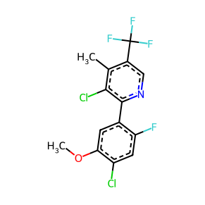 COc1cc(-c2ncc(C(F)(F)F)c(C)c2Cl)c(F)cc1Cl